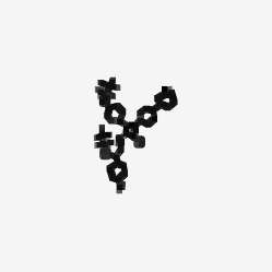 CC(C)(C)[Si](C)(C)Oc1ccc([C@@H]2[C@@H](SC[C@H](O[Si](C)(C)C(C)(C)C)c3ccc(F)cc3)C(=O)N2c2ccc(-c3cccnc3)cc2)cc1